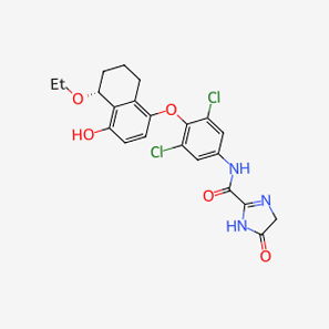 CCO[C@@H]1CCCc2c(Oc3c(Cl)cc(NC(=O)C4=NCC(=O)N4)cc3Cl)ccc(O)c21